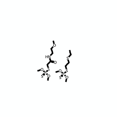 CCSCCSP(=S)(OC)OC.COCCNC(=O)CSP(=S)(OC)OC